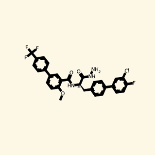 COc1ccc(-c2ccc(C(F)(F)F)cc2)cc1C(=O)N[C@H](Cc1ccc(-c2ccc(F)c(Cl)c2)cc1)C(=O)NN